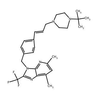 Cc1cc(C)c2nc(C(F)(F)F)n(Cc3ccc(C=CCN4CCN(C(C)(C)C)CC4)cc3)c2n1